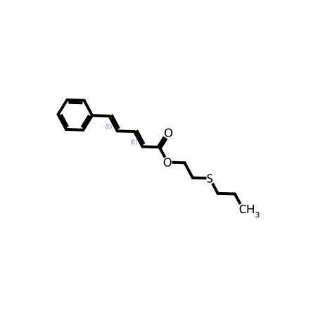 CCCSCCOC(=O)/C=C/C=C/c1ccccc1